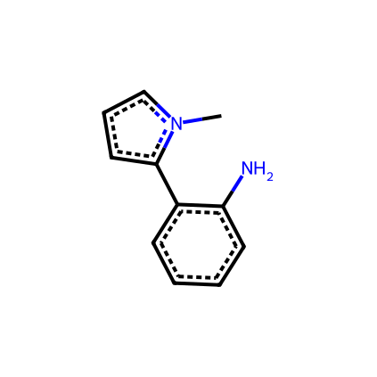 Cn1cccc1-c1ccccc1N